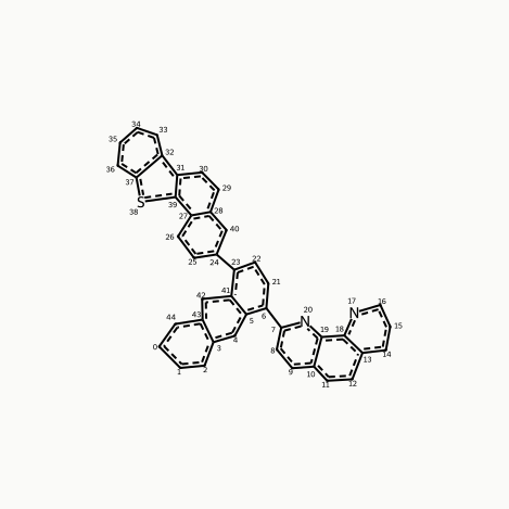 c1ccc2cc3c(-c4ccc5ccc6cccnc6c5n4)ccc(-c4ccc5c(ccc6c7ccccc7sc56)c4)c3cc2c1